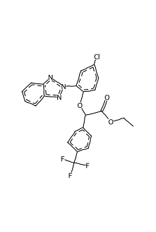 CCOC(=O)C(Oc1ccc(Cl)cc1-n1nc2ccccc2n1)c1ccc(C(F)(F)F)cc1